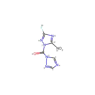 O=C(n1cncn1)n1nc(F)nc1[N+](=O)[O-]